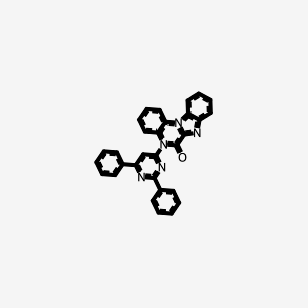 O=c1c2nc3ccccc3n2c2ccccc2n1-c1cc(-c2ccccc2)nc(-c2ccccc2)n1